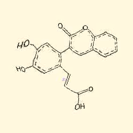 O=C(O)/C=C/c1cc(O)c(O)cc1-c1cc2ccccc2oc1=O